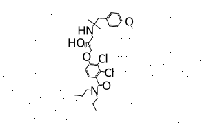 CCCN(CCC)C(=O)c1ccc(OC[C@H](O)CNC(C)(C)Cc2ccc(OC)cc2)c(Cl)c1Cl